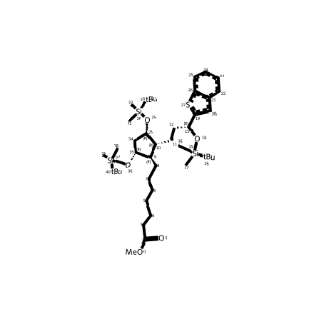 COC(=O)CCCCCC[C@@H]1[C@@H](CC[C@@H](O[Si](C)(C)C(C)(C)C)c2cc3ccccc3s2)[C@H](O[Si](C)(C)C(C)(C)C)C[C@H]1O[Si](C)(C)C(C)(C)C